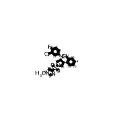 Cn1cnc(S(=O)(=O)N2C[C@@H](Nc3ccc(F)c(Cl)c3)[C@H](c3ccccc3Cl)C2)c1